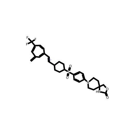 C=C1C=C(/C=C/C2CCC(S(=O)(=O)c3ccc(N4CCC5(CC4)COC(=O)N5)cc3)CC2)C=CC(C(F)(F)F)=C1